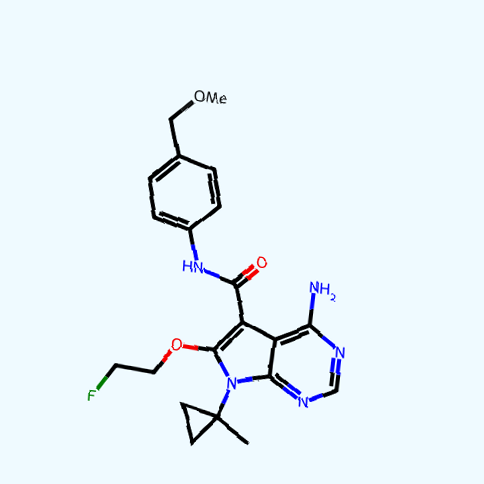 COCc1ccc(NC(=O)c2c(OCCF)n(C3(C)CC3)c3ncnc(N)c23)cc1